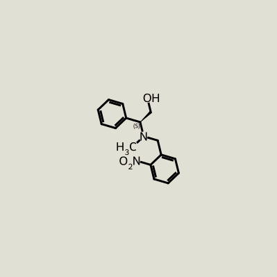 CN(Cc1ccccc1[N+](=O)[O-])[C@H](CO)c1ccccc1